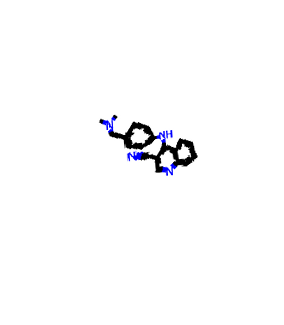 CN(C)Cc1ccc(Nc2c(C#N)cnc3ccccc23)cc1